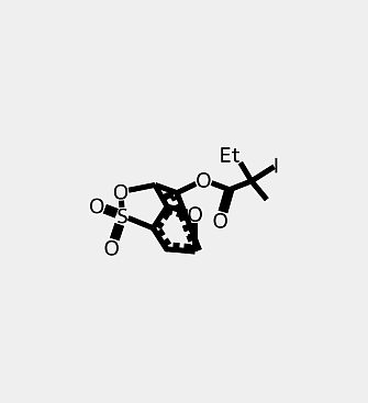 CCC(C)(I)C(=O)Oc1c2c3oc1cc3S(=O)(=O)O2